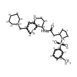 O=C(CC1CCCN1S(=O)(=O)c1cccc(C(F)(F)F)c1)NC1CCOc2cc(CN3CCCCC3)ccc21